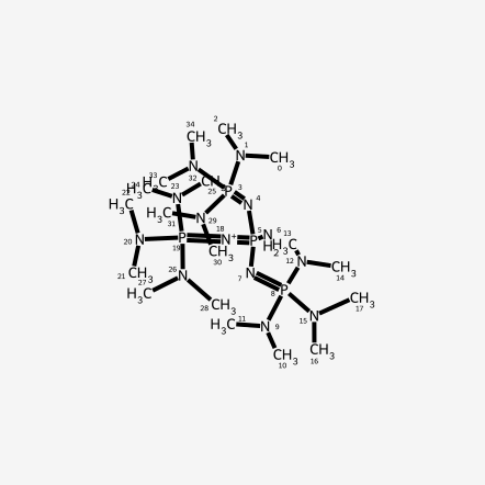 CN(C)P(=NP(N)(N=P(N(C)C)(N(C)C)N(C)C)=[N+]=P(N(C)C)(N(C)C)N(C)C)(N(C)C)N(C)C